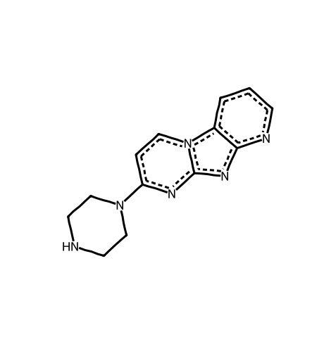 c1cnc2nc3nc(N4CCNCC4)ccn3c2c1